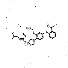 C=N/C(=C\C=C(C)C)O[C@H]1CCN(c2ccc(Oc3ccccc3C(C)OC)cc2CCO)C1